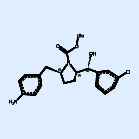 CC(C)(C)OC(=O)N1[C@H](Cc2ccc(N)cc2)CC[C@@H]1[C@H](O)c1cccc(Cl)c1